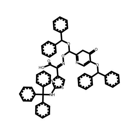 O=C(O)C(=NOC(OC(c1ccccc1)c1ccccc1)C1=NC=C(OC(c2ccccc2)c2ccccc2)C(=O)C1)c1csc(NC(c2ccccc2)(c2ccccc2)c2ccccc2)n1